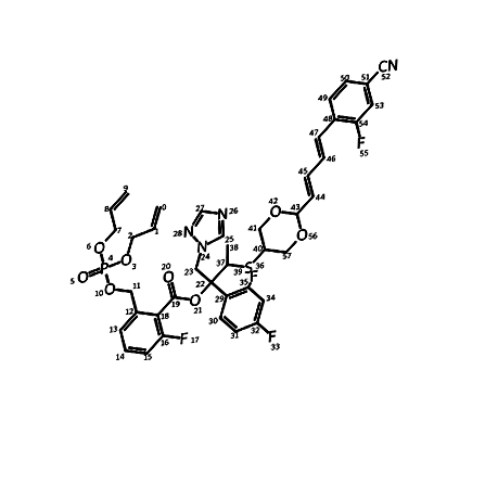 C=CCOP(=O)(OCC=C)OCc1cccc(F)c1C(=O)OC(Cn1cncn1)(c1ccc(F)cc1F)C(C)SC1COC(C=CC=Cc2ccc(C#N)cc2F)OC1